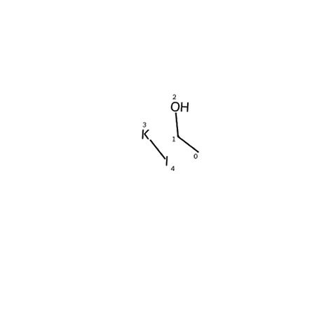 CCO.[K][I]